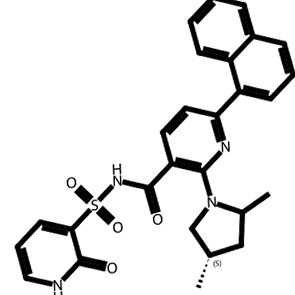 CC1C[C@H](C)CN1c1nc(-c2cccc3ccccc23)ccc1C(=O)NS(=O)(=O)c1ccc[nH]c1=O